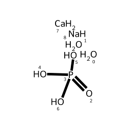 O.O.O=P(O)(O)O.[CaH2].[NaH]